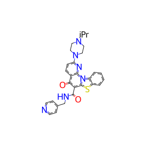 CC(C)N1CCN(c2ccc3c(=O)c(C(=O)NCc4ccncc4)c4sc5ccccc5n4c3n2)CC1